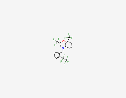 OC(CN(Cc1ccccc1C(F)(F)C(F)(F)F)C1CCCC(C(F)(F)F)C1)C(F)(F)F